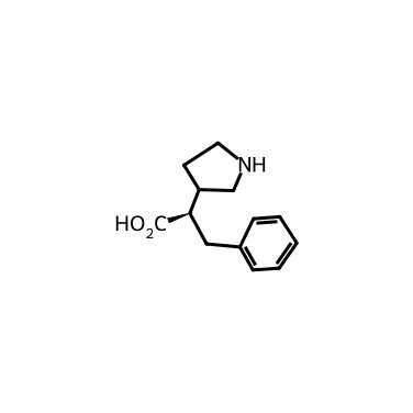 O=C(O)[C@H](Cc1ccccc1)C1CCNC1